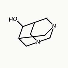 OC1C2CN3CC1CN(C2)C3